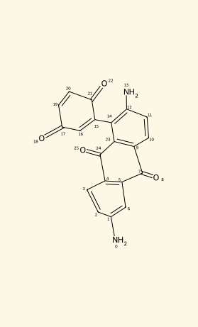 Nc1ccc2c(c1)C(=O)c1ccc(N)c(C3=CC(=O)C=CC3=O)c1C2=O